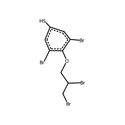 Sc1cc(Br)c(OCC(Br)CBr)c(Br)c1